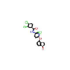 Cl.O=C(Nc1ccc(Oc2cccc3c2CCC3=O)nc1)c1ccc(Cl)c(Cl)c1